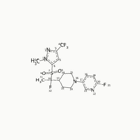 Cn1nc(C(F)(F)F)cc1S(=O)(=O)C(C)(F)C1CCN(c2ccc(F)nc2)CC1